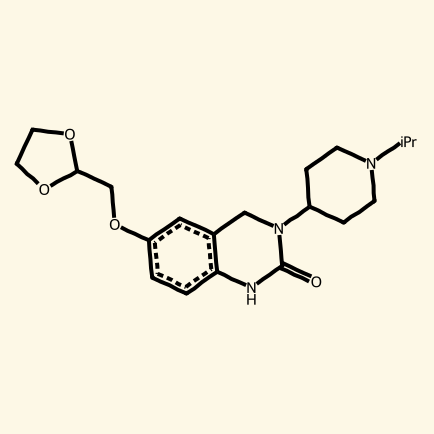 CC(C)N1CCC(N2Cc3cc(OCC4OCCO4)ccc3NC2=O)CC1